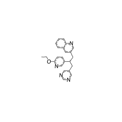 CCOc1ccc([C](Cc2cncnc2)Cc2cnc3ccccc3c2)cn1